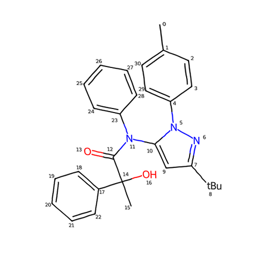 Cc1ccc(-n2nc(C(C)(C)C)cc2N(C(=O)C(C)(O)c2ccccc2)c2ccccc2)cc1